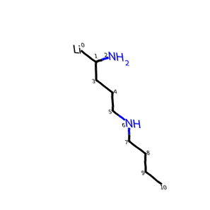 [Li][CH](N)CCCNCCCC